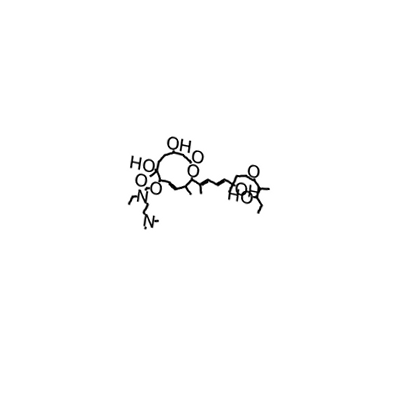 CCC(O)C(C)C1OC1CC(C)(O)/C=C/C=C(\C)C1OC(=O)CC(O)CCC(C)(O)C(OC(=O)N(CC)CCN(C)C)/C=C/C1C